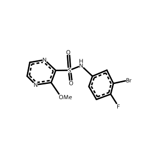 COc1nccnc1S(=O)(=O)Nc1ccc(F)c(Br)c1